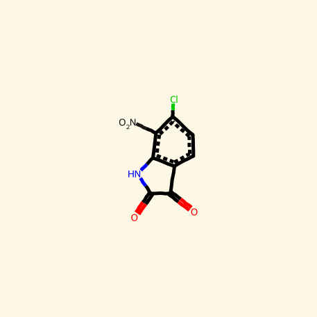 O=C1Nc2c(ccc(Cl)c2[N+](=O)[O-])C1=O